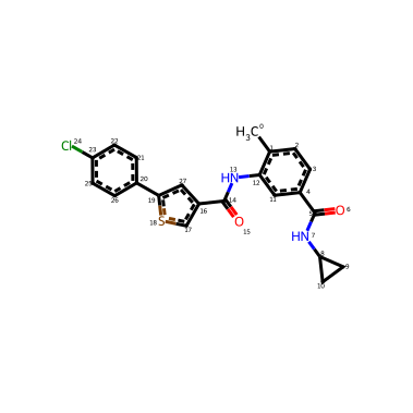 Cc1ccc(C(=O)NC2CC2)cc1NC(=O)c1csc(-c2ccc(Cl)cc2)c1